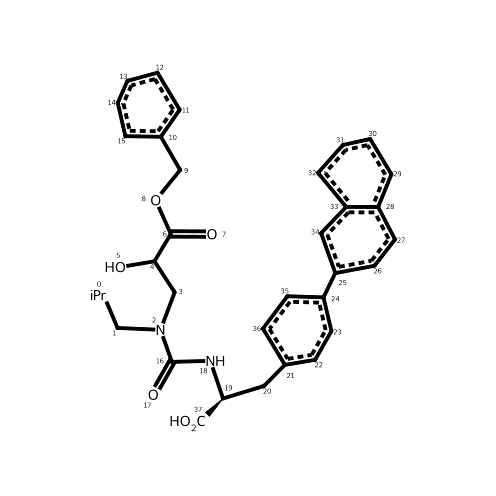 CC(C)CN(CC(O)C(=O)OCc1ccccc1)C(=O)N[C@@H](Cc1ccc(-c2ccc3ccccc3c2)cc1)C(=O)O